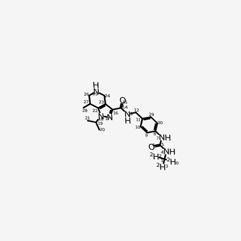 [2H]C([2H])([2H])NC(=O)Nc1ccc(CNC(=O)c2nn(C(C)C)c3c2CNCC3C)cc1